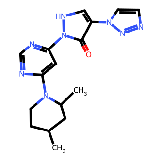 CC1CCN(c2cc(-n3[nH]cc(-n4ccnn4)c3=O)ncn2)C(C)C1